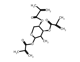 C=C(C)C(=O)OC1OC[C@@H](OC(=O)C(=C)C)[C@@H](OC(=O)C(=C)C)C1C